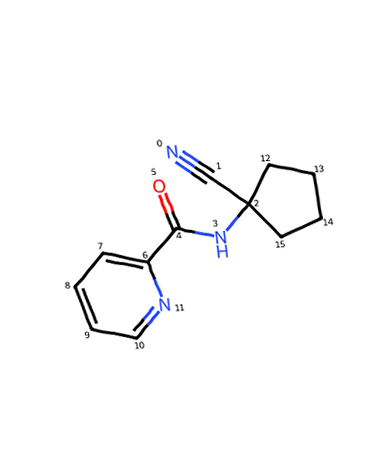 N#CC1(NC(=O)c2ccccn2)CCCC1